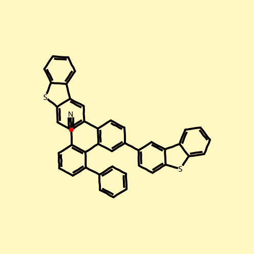 N#Cc1cccc(-c2ccccc2)c1-c1cc(-c2ccc3sc4ccccc4c3c2)ccc1-c1ccc2sc3ccccc3c2c1